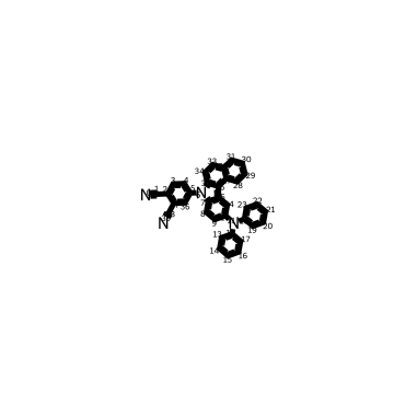 N#Cc1ccc(-n2c3ccc(N(c4ccccc4)c4ccccc4)cc3c3c4ccccc4ccc32)cc1C#N